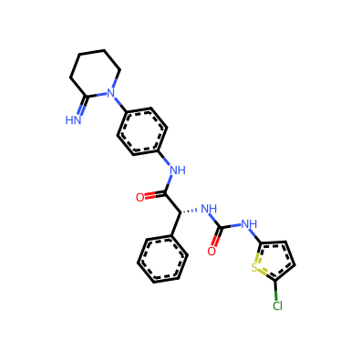 N=C1CCCCN1c1ccc(NC(=O)[C@H](NC(=O)Nc2ccc(Cl)s2)c2ccccc2)cc1